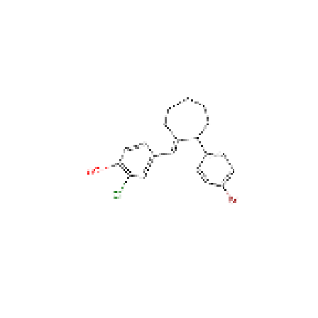 Oc1ccc(C=C2CCCCCC2c2ccc(Br)cc2)cc1Cl